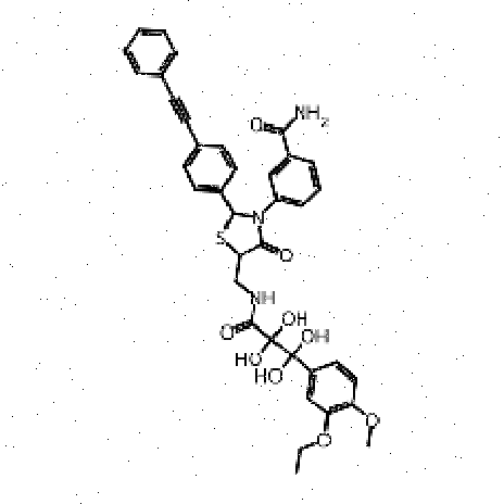 CCOc1cc(C(O)(O)C(O)(O)C(=O)NCC2SC(c3ccc(C#Cc4ccccc4)cc3)N(c3cccc(C(N)=O)c3)C2=O)ccc1OC